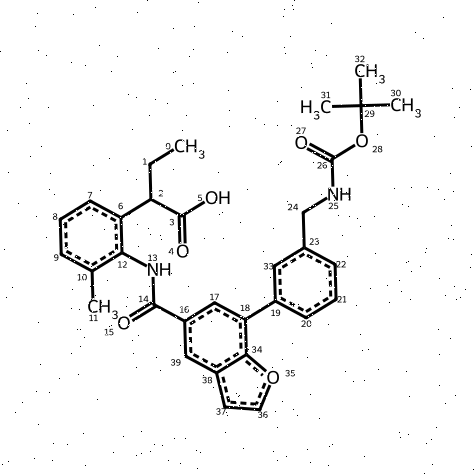 CCC(C(=O)O)c1cccc(C)c1NC(=O)c1cc(-c2cccc(CNC(=O)OC(C)(C)C)c2)c2occc2c1